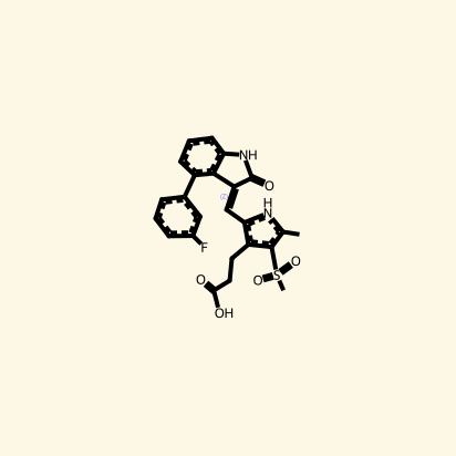 Cc1[nH]c(/C=C2\C(=O)Nc3cccc(-c4cccc(F)c4)c32)c(CCC(=O)O)c1S(C)(=O)=O